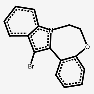 Brc1c2n(c3ccccc13)CCOc1ccccc1-2